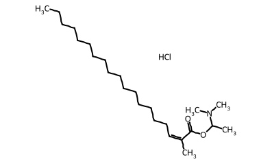 CCCCCCCCCCCCCCCCC=C(C)C(=O)OC(C)N(C)C.Cl